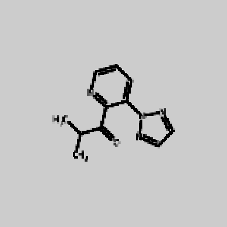 CC(C)C(=O)c1ncccc1-n1nccn1